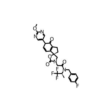 COc1ncc(C2C=CC3=C(CC[C@]34CN(CC(=O)N(Cc3ccc(F)cc3)[C@@H](C)C(F)(F)F)C(=O)O4)C2=O)cn1